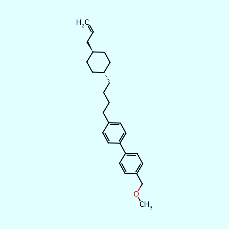 C=CC[C@H]1CC[C@H](CCCCc2ccc(-c3ccc(COC)cc3)cc2)CC1